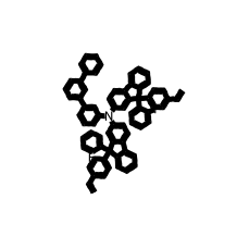 C=Cc1ccc(C2(c3ccccc3F)c3ccccc3-c3ccc(N(c4cccc(-c5cccc(-c6ccccc6)c5)c4)c4ccc5c(c4)C(c4ccc(C=C)cc4)(c4ccccc4F)c4ccccc4-5)cc32)cc1